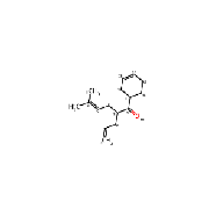 C=CCC(CC=C(C)C)C(=O)C1CC=CCC1